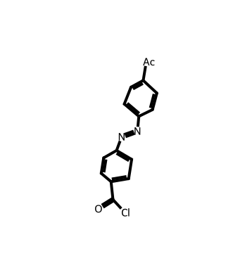 CC(=O)c1ccc(/N=N/c2ccc(C(=O)Cl)cc2)cc1